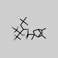 CC1C2CC(C1C)C(C)(C(=O)OC(CC(C)(C)C)C(O)(C(F)(F)F)C(F)(F)F)C2